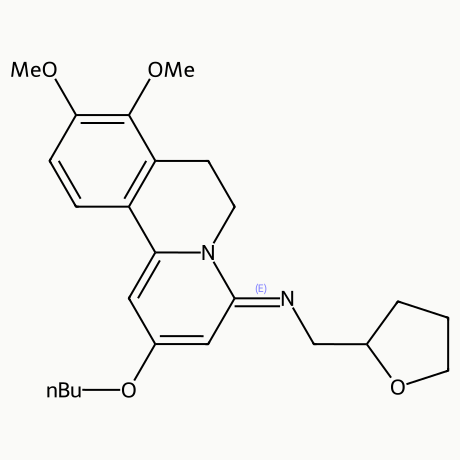 CCCCOc1cc2n(/c(=N/CC3CCCO3)c1)CCc1c-2ccc(OC)c1OC